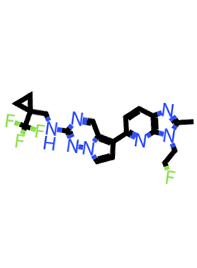 Cc1nc2ccc(-c3ccn4nc(NCC5(C(F)(F)F)CC5)ncc34)nc2n1CCF